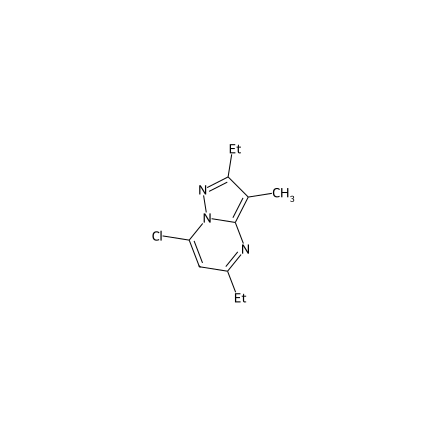 CCc1cc(Cl)n2nc(CC)c(C)c2n1